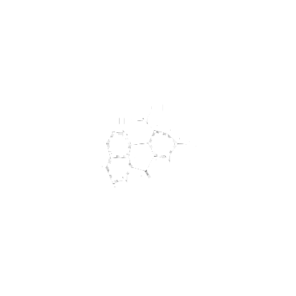 CN(C)c1cc(Cl)nc2c1-c1nccc3ccnc(c13)C2=O